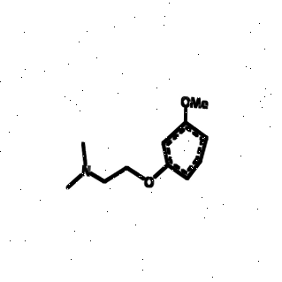 COc1cccc(OCCN(C)C)c1